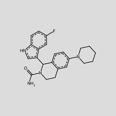 NC(=O)N1CCc2cc(N3CCCCC3)ccc2C1c1c[nH]c2ccc(F)cc12